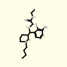 CCCCN1CCCC(C(OCC(=O)OCC)c2cccc(Cl)c2F)C1